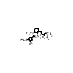 C=CC(C)C=CC1=C(C)C(P(C)C(=C)C2=CC(C(C)C)=C(SC)C2)CCC1